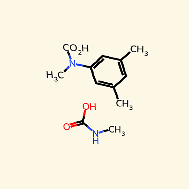 CNC(=O)O.Cc1cc(C)cc(N(C)C(=O)O)c1